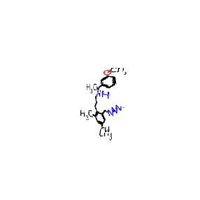 COc1cccc([C@H](C)NCCCc2c(C)cc(C)cc2CN=[N+]=[N-])c1